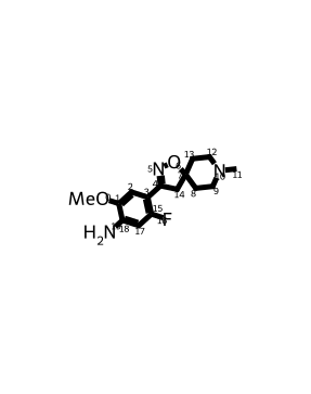 COc1cc(C2=NOC3(CCN(C)CC3)C2)c(F)cc1N